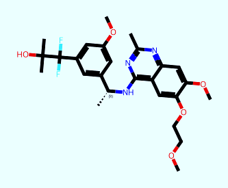 COCCOc1cc2c(N[C@H](C)c3cc(OC)cc(C(F)(F)C(C)(C)O)c3)nc(C)nc2cc1OC